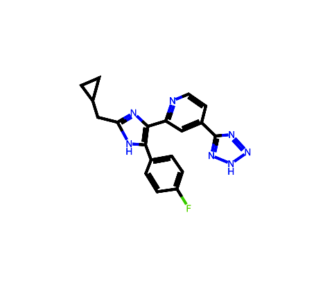 Fc1ccc(-c2[nH]c(CC3CC3)nc2-c2cc(-c3nn[nH]n3)ccn2)cc1